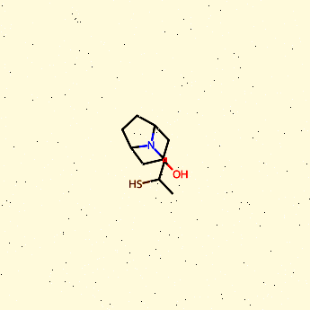 CC(S)CN1C2CCC1CC(O)C2